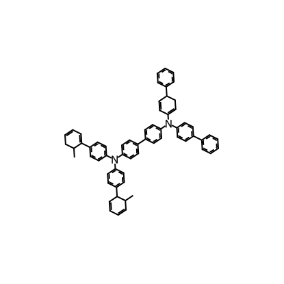 CC1CC=CC=C1c1ccc(N(c2ccc(-c3ccc(N(C4=CCC(c5ccccc5)C=C4)c4ccc(-c5ccccc5)cc4)cc3)cc2)c2ccc(C3C=CC=CC3C)cc2)cc1